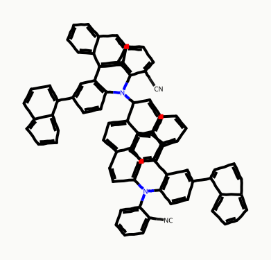 [C-]#[N+]c1ccccc1N(C1=C2C=CC3=C4C(=CC=C(C=C1)C24)C(N(c1ccccc1C#N)c1ccc(-c2cccc4ccccc24)cc1-c1cccc2ccccc12)C=C3)c1ccc(-c2cccc3ccccc23)cc1-c1cccc2ccccc12